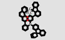 CC1(C)c2ccccc2-c2cccc(-c3cccc(N(c4ccc5c(c4)C4(CC6CCC4C6)c4ccccc4-5)c4ccccc4-c4ccc5c(ccc6ccccc65)c4)c3)c21